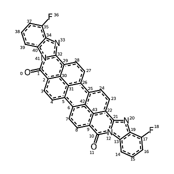 O=c1c2ccc3c4ccc5c(=O)n6c7cccc(F)c7nc6c6ccc(c7ccc(c2c37)c2nc3c(F)cccc3n12)c4c56